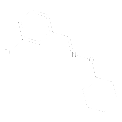 CCc1cccc([C]=NOC2=CCCCC2)c1